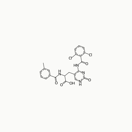 Cc1cccc(C(=O)NC(Cc2c[nH]c(=O)nc2NC(=O)c2c(Cl)cccc2Cl)C(=O)O)c1